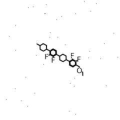 CCOCc1ccc(C2CCC(c3ccc(C4CCC(C)CC4)c(F)c3F)CC2)c(F)c1F